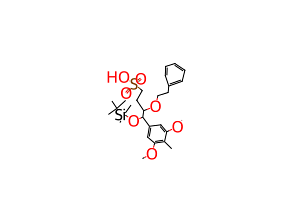 COc1cc(C(O[Si](C)(C)C(C)(C)C)C(CCS(=O)(=O)O)OCCc2ccccc2)cc(OC)c1C